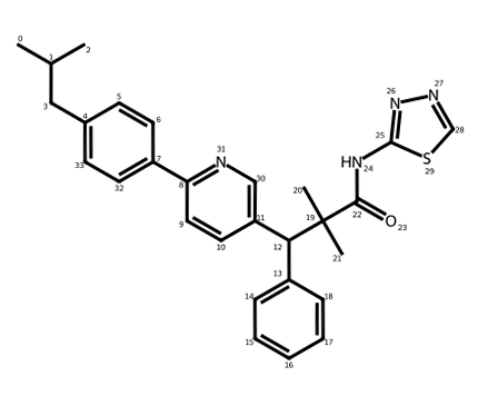 CC(C)Cc1ccc(-c2ccc(C(c3ccccc3)C(C)(C)C(=O)Nc3nncs3)cn2)cc1